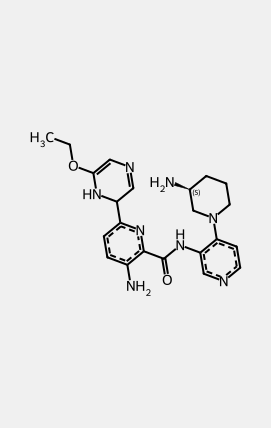 CCOC1=CN=CC(c2ccc(N)c(C(=O)Nc3cnccc3N3CCC[C@H](N)C3)n2)N1